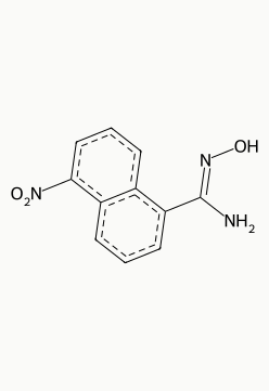 NC(=NO)c1cccc2c([N+](=O)[O-])cccc12